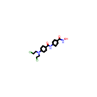 O=C(NO)c1ccc(NC(=O)c2ccc(N(CCCl)CCCl)cc2)cc1